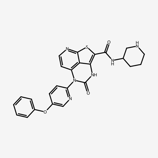 O=C(NC1CCCNC1)c1sc2nccc3c2c1NC(=O)N3c1ccc(Oc2ccccc2)cn1